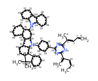 C=C/C=C(\C)c1nc(C(=C)/C=C\C)nc(-c2ccc(-n3c4cc(-n5c6ccccc6c6ccccc65)c5ccccc5c4c4ccc5c(c43)-c3ccccc3C5(C)C)cc2)n1